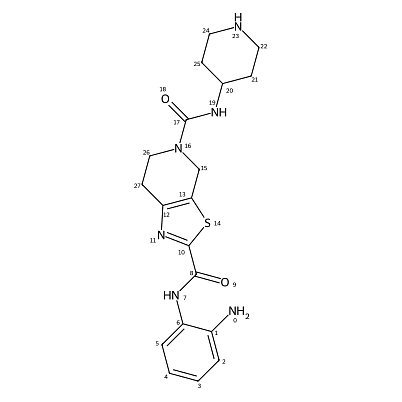 Nc1ccccc1NC(=O)c1nc2c(s1)CN(C(=O)NC1CCNCC1)CC2